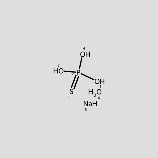 O.OP(O)(O)=S.[NaH]